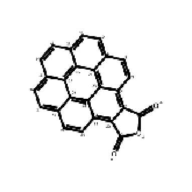 O=c1oc(=O)c2c3ccc4ccc5ccc6ccc7ccc(c12)c1c7c6c5c4c31